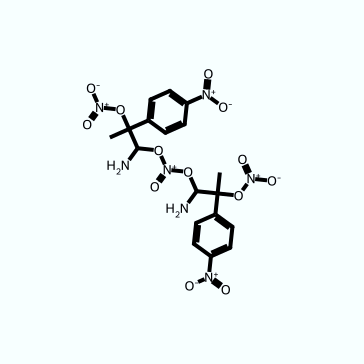 CC(O[N+](=O)[O-])(c1ccc([N+](=O)[O-])cc1)C(N)O[N+](=O)OC(N)C(C)(O[N+](=O)[O-])c1ccc([N+](=O)[O-])cc1